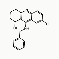 OC1CCCc2nc3ccc(Cl)cc3c(NCc3ccccc3)c21